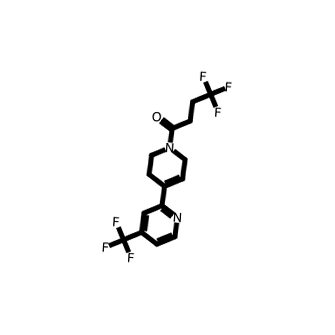 O=C(CCC(F)(F)F)N1CC=C(c2cc(C(F)(F)F)ccn2)CC1